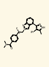 Cc1[nH]nc(-c2cccc3nn(C[C@H](F)c4ccc(C(=O)N(C)C)cc4)cc23)c1C(C)C